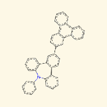 c1ccc(N2c3ccccc3-c3ccc(-c4ccc5c6ccccc6c6ccccc6c5c4)cc3-c3ccccc32)cc1